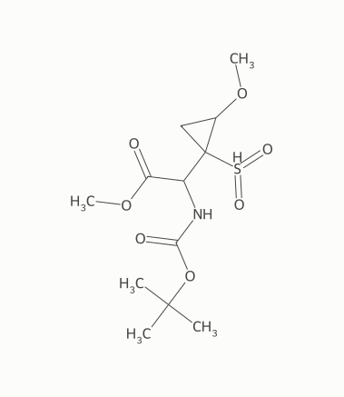 COC(=O)C(NC(=O)OC(C)(C)C)C1([SH](=O)=O)CC1OC